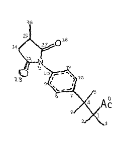 CC(=O)C(C)(C)C(C)(C)c1ccc(N2C(=O)CC(C)C2=O)cc1